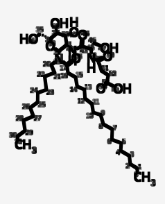 CCCCCCCCCCCCCCCCCC(=O)N(CCCCCCCCCCCC)[C@@H]1O[C@H](CO)[C@@H](O)[C@H](O)[C@@H]1NC(=O)[C@H](CO)NC(=O)CCC(=O)O